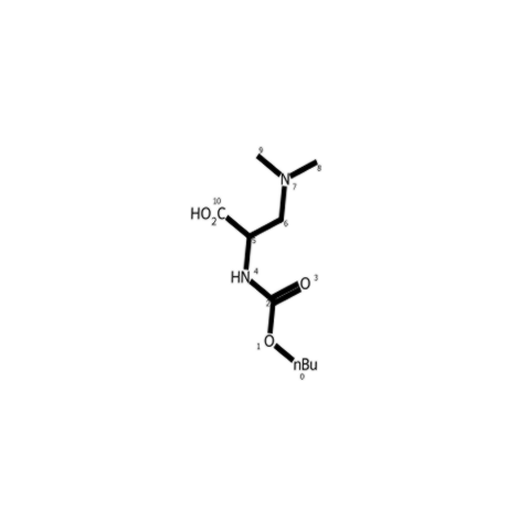 CCCCOC(=O)NC(CN(C)C)C(=O)O